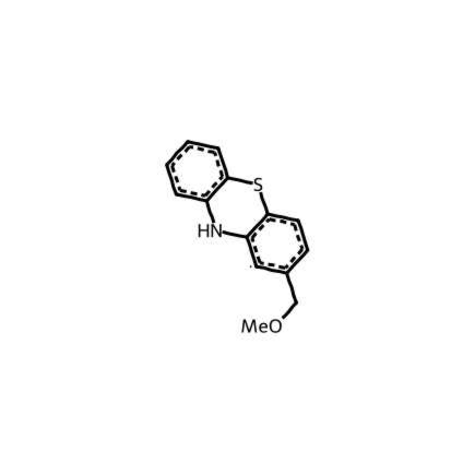 COCc1[c]c2c(cc1)Sc1ccccc1N2